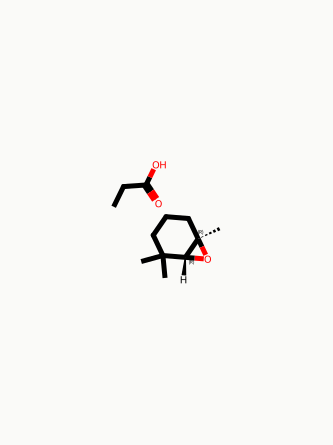 CC1(C)CCC[C@@]2(C)O[C@H]12.CCC(=O)O